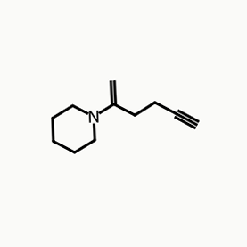 C#CCCC(=C)N1CCCCC1